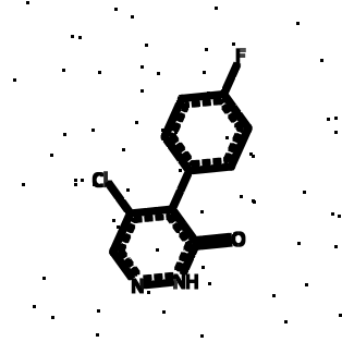 O=c1[nH]ncc(Cl)c1-c1ccc(F)cc1